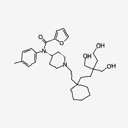 Cc1ccc(N(C(=O)c2ccco2)C2CCN(CCC3(CCC(CO)(CO)CCO)CCCCC3)CC2)cc1